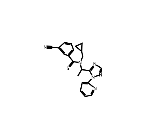 CC(c1ncnn1-c1ccccn1)N(CC1CC1)C(=S)c1cccc(C#N)c1